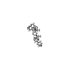 O=S(=O)(Nc1cccc(Nc2nccc(-c3ccncc3)n2)c1)c1cccc2cnccc12